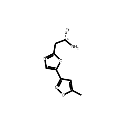 CC[C@H](N)Cc1ncc(-c2cc(C)on2)o1